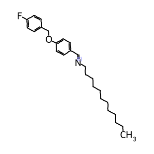 CCCCCCCCCCCC/N=C/c1ccc(OCc2ccc(F)cc2)cc1